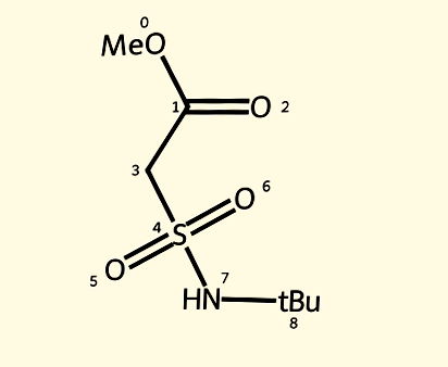 COC(=O)CS(=O)(=O)NC(C)(C)C